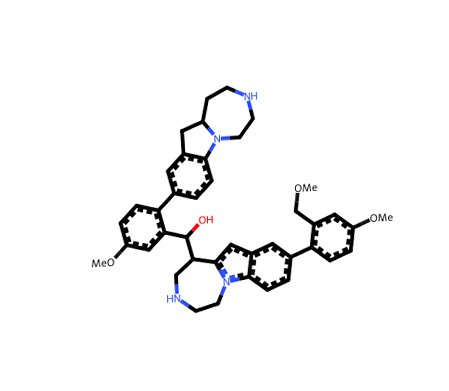 COCc1cc(OC)ccc1-c1ccc2c(c1)cc1n2CCNCC1C(O)c1cc(OC)ccc1-c1ccc2c(c1)CC1CCNCCN21